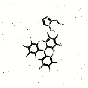 CCCCCCCCCCCc1nccn1N.Fc1c(F)c(F)c(N(c2c(F)c(F)c(F)c(F)c2F)c2c(F)c(F)c(F)c(F)c2F)c(F)c1F